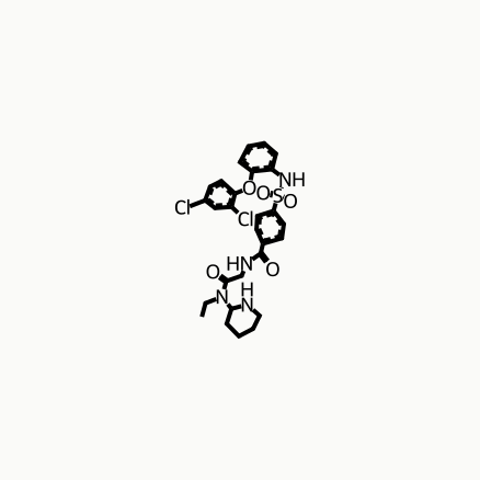 CCN(C(=O)CNC(=O)c1ccc(S(=O)(=O)Nc2ccccc2Oc2ccc(Cl)cc2Cl)cc1)C1CCCCN1